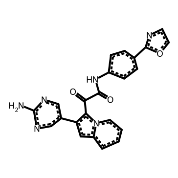 Nc1ncc(-c2cc3ccccn3c2C(=O)C(=O)Nc2ccc(-c3ncco3)cc2)cn1